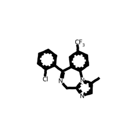 Cc1cnc2n1-c1ccc(C(F)(F)F)cc1C(c1ccccc1Cl)=NC2